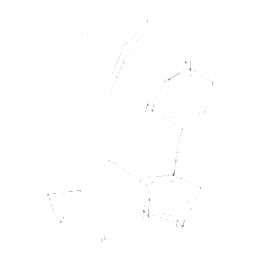 CC(C)n1ncc(-c2ccnc(S(C)(=O)=O)n2)c1CC1CC1